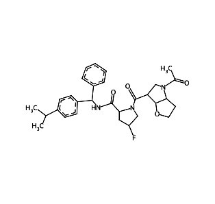 CC(=O)N1CC(C(=O)N2CC(F)CC2C(=O)NC(c2ccccc2)c2ccc(C(C)C)cc2)C2OCCC21